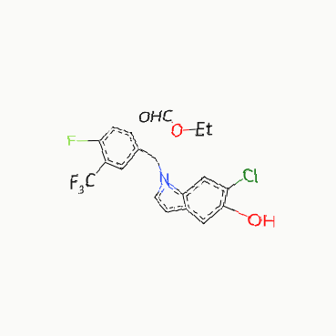 CCOC=O.Oc1cc2ccn(Cc3ccc(F)c(C(F)(F)F)c3)c2cc1Cl